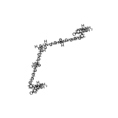 CN(CC(=O)NCCOCCOCCNC(=O)NCCOCCOCCOCCOc1cccc(-c2nc(NC(=N)N)nc3ccc(Cl)cc23)c1)CC(=O)NCCOCCOCCNC(=O)NCCOCCOCCOCCOc1cccc(-c2nc(NC(=N)N)nc3ccc(Cl)cc23)c1